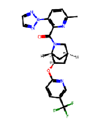 Cc1ccc(-n2nccn2)c(C(=O)N2C[C@@H]3C[C@@H]2[C@H](Oc2ccc(C(F)(F)F)cn2)C3)n1